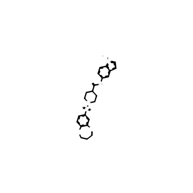 CCCn1ccc2cc(NC(=O)C3CCN(S(=O)(=O)c4ccc5c(c4)OCCCO5)CC3)ccc21